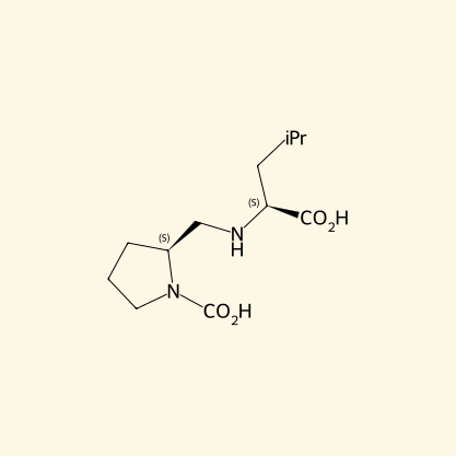 CC(C)C[C@H](NC[C@@H]1CCCN1C(=O)O)C(=O)O